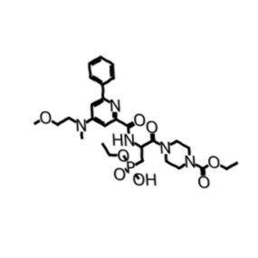 CCOC(=O)N1CCN(C(=O)C(CP(=O)(O)OCC)NC(=O)c2cc(N(C)CCOC)cc(-c3ccccc3)n2)CC1